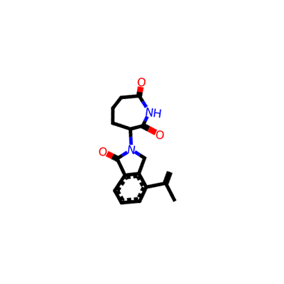 C=C(C)c1cccc2c1CN(C1CCCC(=O)NC1=O)C2=O